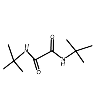 CC(C)(C)NC(=O)C(=O)NC(C)(C)C